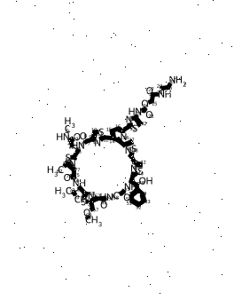 CNC(=O)C[C@@H]1NC(=O)c2csc(n2)-c2ccc(-c3nc(NC(=O)OCC(=O)NCCN)cs3)nc2-c2csc(n2)-c2csc(n2)[C@H]([C@@H](O)c2ccccc2)NC(=O)CNC(=O)c2nc(sc2COC)[C@H](C(C)C)NC(=O)c2nc1sc2C